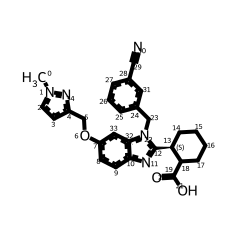 Cn1ccc(COc2ccc3nc([C@H]4CCCCC4C(=O)O)n(Cc4cccc(C#N)c4)c3c2)n1